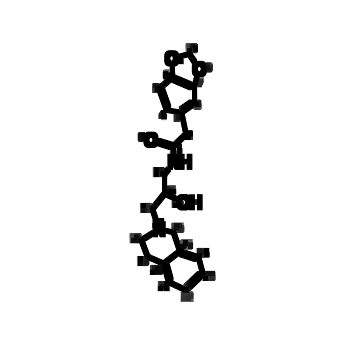 O=C(Cc1ccc2c(c1)OCO2)NCC(O)CN1CCc2ccccc2C1